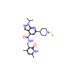 CSN1CCC(c2cc(C(=O)NCc3c(C)cc(C)[nH]c3=O)c3cnn(C(C)C)c3n2)CC1